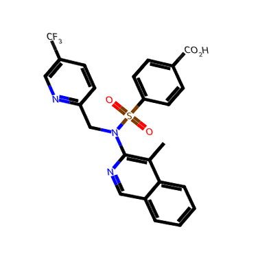 Cc1c(N(Cc2ccc(C(F)(F)F)cn2)S(=O)(=O)c2ccc(C(=O)O)cc2)ncc2ccccc12